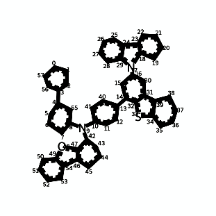 c1ccc(-c2cccc(N(c3ccc(-c4cc(-n5c6ccccc6c6ccccc65)cc5c4sc4ccccc45)cc3)c3cccc4c3oc3ccccc34)c2)cc1